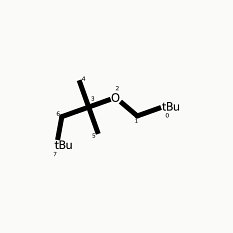 CC(C)(C)COC(C)(C)CC(C)(C)C